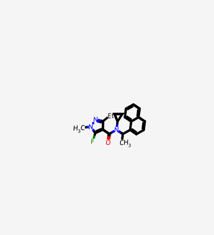 CCc1nn(C)c(F)c1C(=O)N(C1CC1)C(C)c1cccc2ccccc12